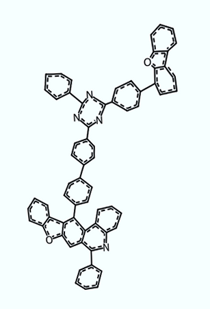 c1ccc(-c2nc(-c3ccc(-c4ccc(-c5c6c(cc7c(-c8ccccc8)nc8ccccc8c57)oc5ccccc56)cc4)cc3)nc(-c3ccc(-c4cccc5c4oc4ccccc45)cc3)n2)cc1